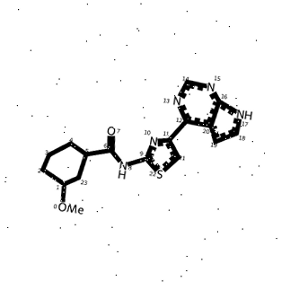 COC1CCCC(C(=O)Nc2nc(-c3ncnc4[nH]ccc34)cs2)C1